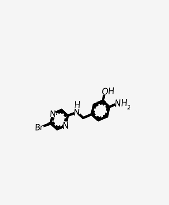 Nc1ccc(CNc2cnc(Br)cn2)cc1O